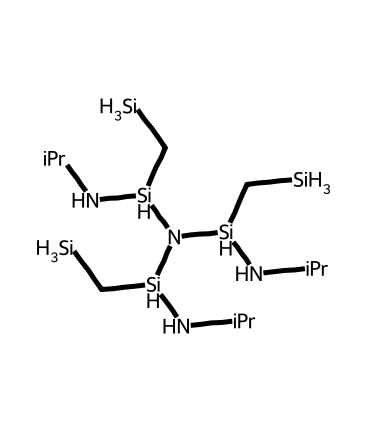 CC(C)N[SiH](C[SiH3])N([SiH](C[SiH3])NC(C)C)[SiH](C[SiH3])NC(C)C